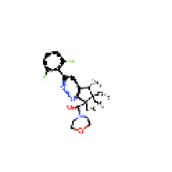 C[C@@H]1c2cc(-c3c(F)cccc3F)nnc2C(C)(C(=O)N2CCOCC2)C1(C)C